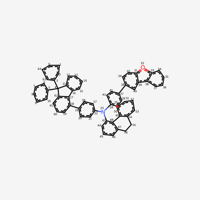 c1ccc(C2(c3ccccc3)c3ccccc3-c3c(-c4ccc(N(c5ccc(-c6ccc7oc8ccccc8c7c6)cc5)c5cccc6c5-c5ccccc5CC6)cc4)cccc32)cc1